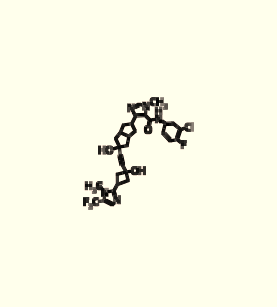 Cn1cnc(C2CC3CC(O)(C#CC4(O)CC(c5ncc(C(F)(F)F)n5C)C4)CC3C2)c1C(=O)Nc1ccc(F)c(Cl)c1